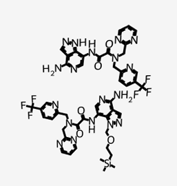 C[Si](C)(C)CCOCn1ncc2c(N)ncc(NC(=O)C(=O)N(Cc3ccc(C(F)(F)F)cn3)Cc3ncccn3)c21.Nc1ncc(NC(=O)C(=O)N(Cc2ccc(C(F)(F)F)cn2)Cc2ncccn2)c2[nH]ncc12